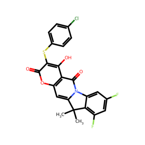 CC1(C)c2c(F)cc(F)cc2-n2c1cc1oc(=O)c(Sc3ccc(Cl)cc3)c(O)c1c2=O